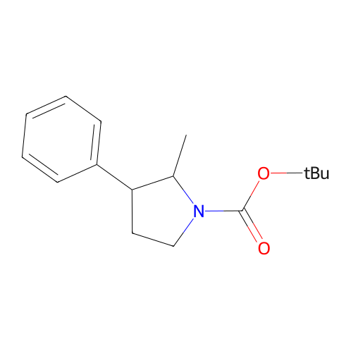 CC1C(c2ccccc2)CCN1C(=O)OC(C)(C)C